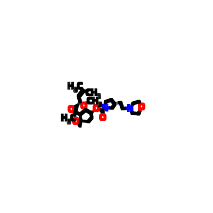 CO[C@@H]1[C@H](OC(=O)N2CC[C@H](CCN3CCOCC3)C2)CC[C@]2(CO2)[C@H]1[C@@]1(C)O[C@@H]1CC=C(C)C